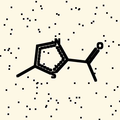 CC(=O)c1ncc(C)s1